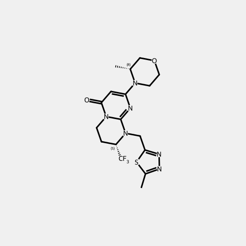 Cc1nnc(CN2c3nc(N4CCOC[C@H]4C)cc(=O)n3CC[C@H]2C(F)(F)F)s1